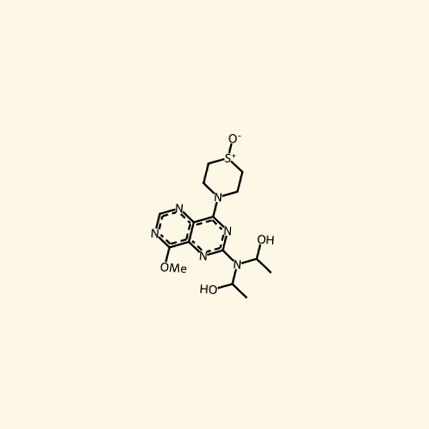 COc1ncnc2c(N3CC[S+]([O-])CC3)nc(N(C(C)O)C(C)O)nc12